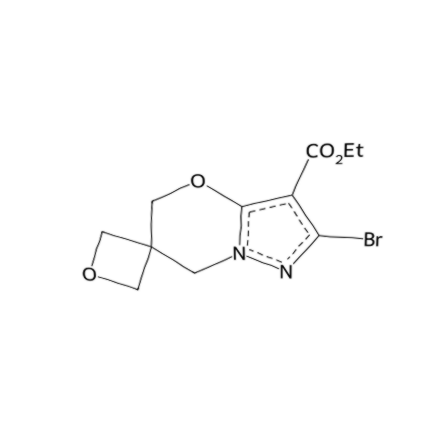 CCOC(=O)c1c(Br)nn2c1OCC1(COC1)C2